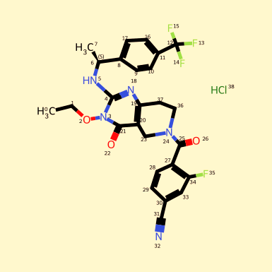 CCOn1c(N[C@@H](C)c2ccc(C(F)(F)F)cc2)nc2c(c1=O)CN(C(=O)c1ccc(C#N)cc1F)CC2.Cl